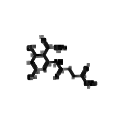 COC(=O)CCC(=S)Nc1cc(Cl)cc(Cl)c1C(=O)OC